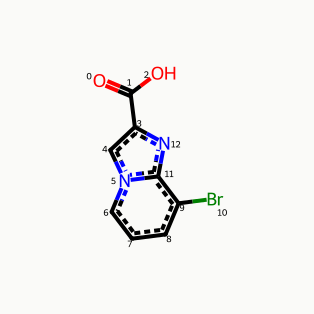 O=C(O)c1cn2cccc(Br)c2n1